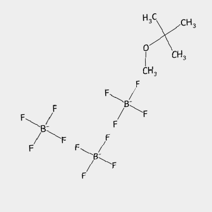 COC(C)(C)C.F[B-](F)(F)F.F[B-](F)(F)F.F[B-](F)(F)F